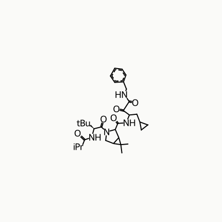 CC(C)C(=O)N[C@H](C(=O)N1CC2C(C1C(=O)NC(CC1CC1)C(=O)C(=O)NCc1ccccc1)C2(C)C)C(C)(C)C